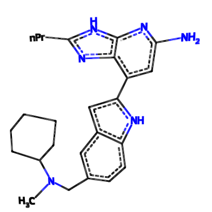 CCCc1nc2c(-c3cc4cc(CN(C)C5CCCCC5)ccc4[nH]3)cc(N)nc2[nH]1